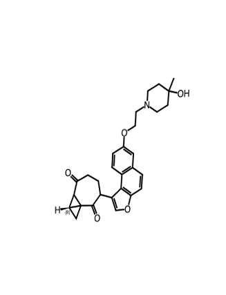 CC1(O)CCN(CCOc2ccc3c(ccc4occ(C5CCC(=O)C6[C@H]7CC67C5=O)c43)c2)CC1